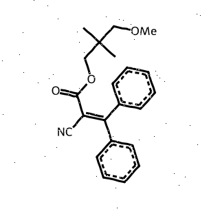 COCC(C)(C)COC(=O)C(C#N)=C(c1ccccc1)c1ccccc1